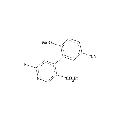 CCOC(=O)c1cnc(F)cc1-c1cc(C#N)ccc1OC